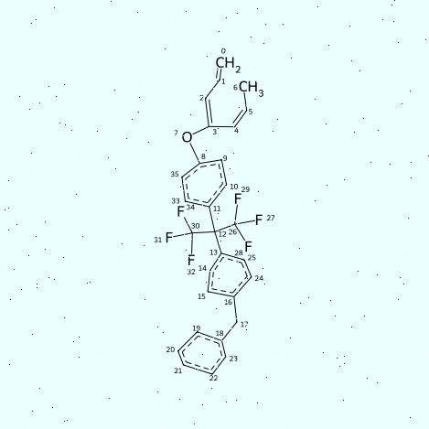 C=C/C=C(\C=C/C)Oc1ccc(C(c2ccc(Cc3ccccc3)cc2)(C(F)(F)F)C(F)(F)F)cc1